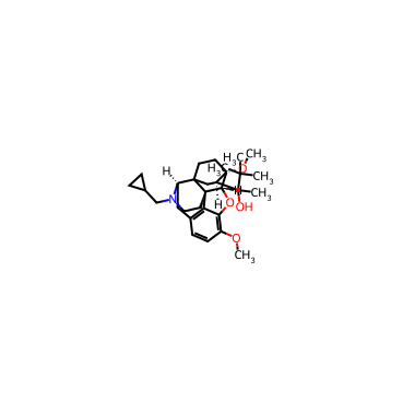 COc1ccc2c3c1O[C@H]1[C@]4(OC)CCC5(C[C@@H]4C(C)(O)C(C)(C)C)[C@@H](C2)N(CC2CC2)CC[C@]315